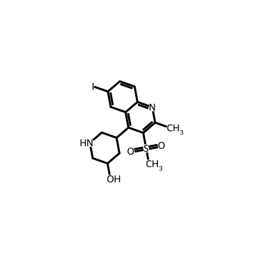 Cc1nc2ccc(I)cc2c(C2CNCC(O)C2)c1S(C)(=O)=O